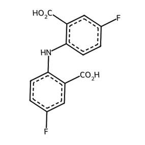 O=C(O)c1cc(F)ccc1Nc1ccc(F)cc1C(=O)O